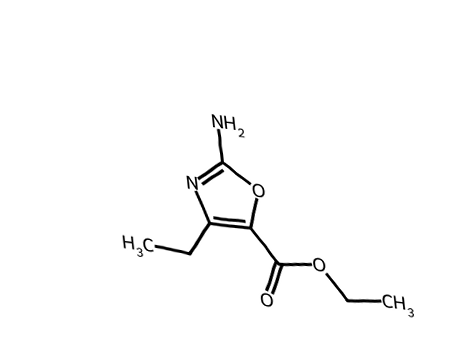 CCOC(=O)c1oc(N)nc1CC